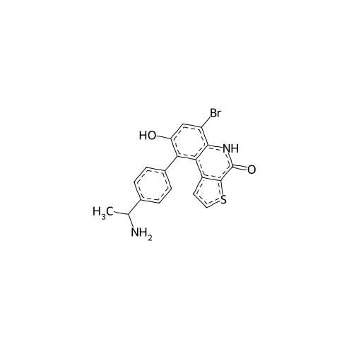 CC(N)c1ccc(-c2c(O)cc(Br)c3[nH]c(=O)c4sccc4c23)cc1